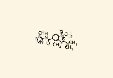 Cc1c(C(=O)Nc2nnnn2C)ccc(S(C)(=O)=O)c1N=CN(C)C